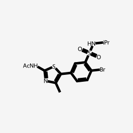 CC(=O)Nc1nc(C)c(-c2ccc(Br)c(S(=O)(=O)NC(C)C)c2)s1